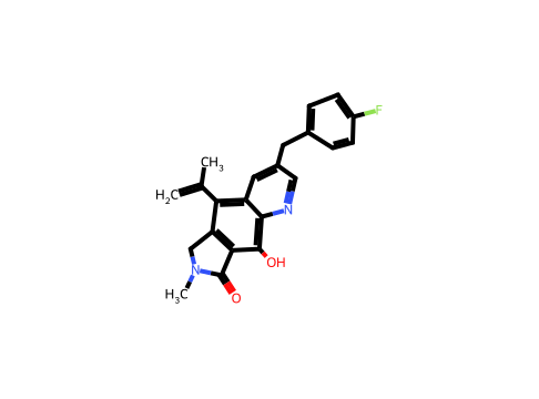 C=C(C)c1c2c(c(O)c3ncc(Cc4ccc(F)cc4)cc13)C(=O)N(C)C2